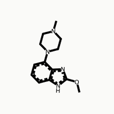 COc1nc2c(N3CCN(C)CC3)cccc2[nH]1